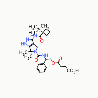 CC1(C)c2[nH]nc(NC(=O)C3([Si](C)(C)C)CCC3)c2CN1C(=O)NC(COC(=O)CCC(=O)O)c1ccccc1